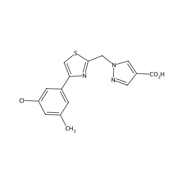 Cc1cc(Cl)cc(-c2csc(Cn3cc(C(=O)O)cn3)n2)c1